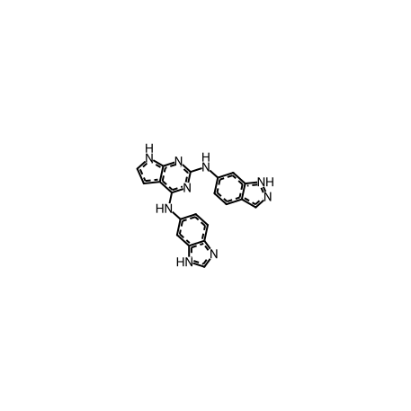 c1nc2ccc(Nc3nc(Nc4ccc5cn[nH]c5c4)nc4[nH]ccc34)cc2[nH]1